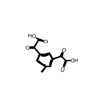 Cc1cc(C(=O)C(=O)O)cc(C(=O)C(=O)O)c1